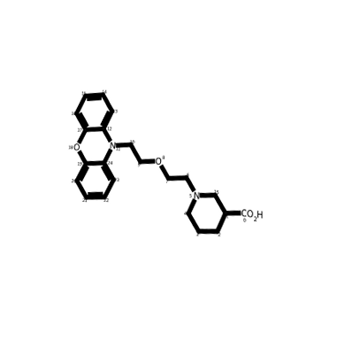 O=C(O)C1CCCN(CCOCCN2c3ccccc3Oc3ccccc32)C1